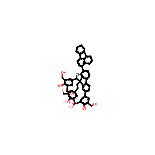 CC(c1cc(CO)c(O)c(CO)c1)C1(CCc2cc(CO)c(O)c(CO)c2)c2cc(-c3cc(CO)c(O)c(CO)c3)ccc2-c2ccc(-c3ccc4c5c(cccc35)-c3ccccc3-4)cc21